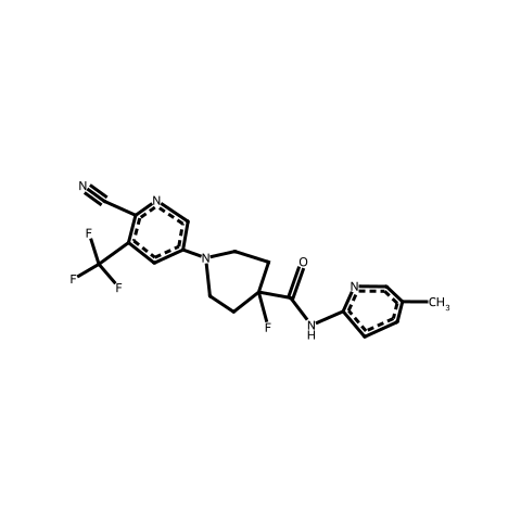 Cc1ccc(NC(=O)C2(F)CCN(c3cnc(C#N)c(C(F)(F)F)c3)CC2)nc1